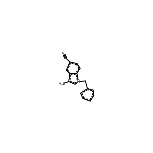 Bc1cn(Cc2ccccc2)c2ccc(C#N)cc12